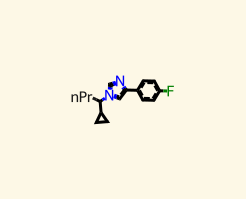 CCCC(C1CC1)n1cnc(-c2ccc(F)cc2)c1